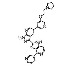 c1cncc(-c2nccc3[nH]c(-c4n[nH]c5ncc(-c6cncc(OCCN7CCCC7)c6)cc45)nc23)c1